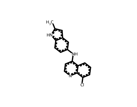 Cc1cc2cc(Nc3ccnc4c(Cl)cccc34)ccc2[nH]1